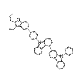 C=Cc1c(/C=C\C)oc2ccc(-c3ccc(-n4c5ccccc5c5c(-c6ccc7c8ccccc8n(-c8ccccc8)c7c6)cccc54)cc3)cc12